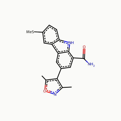 CSc1ccc2[nH]c3c(C(N)=O)cc(-c4c(C)noc4C)cc3c2c1